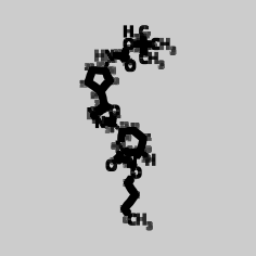 CCCCON1C(=O)N2C[C@@H]1CC[C@H]2c1nnc(C2CC[C@H](NC(=O)OC(C)(C)C)C2)o1